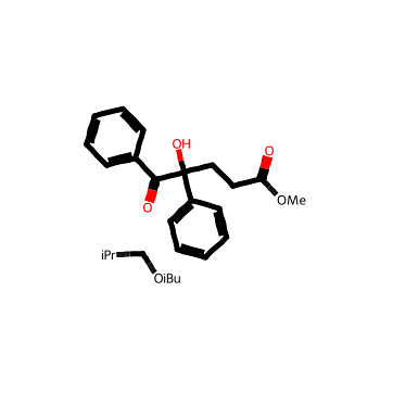 CC(C)COCC(C)C.COC(=O)CCC(O)(C(=O)c1ccccc1)c1ccccc1